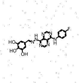 Oc1cc(C=NNc2ncnc3c(Nc4ccc(F)cc4)ncnc23)cc(O)c1O